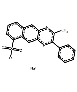 Cc1nc2cc3cccc(S(=O)(=O)[O-])c3cc2nc1-c1ccccc1.[Na+]